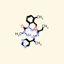 CCC(=NN=C(C)c1cncnc1)OCc1c(C)cccc1N(N)C(=O)N(C)N